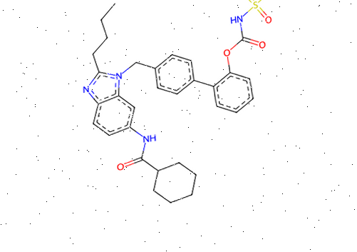 CCCCc1nc2ccc(NC(=O)C3CCCCC3)cc2n1Cc1ccc(-c2ccccc2OC(=O)NS(C)(=O)=O)cc1